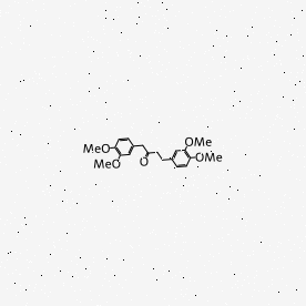 COc1ccc(CCC(=O)Cc2ccc(OC)c(OC)c2)cc1OC